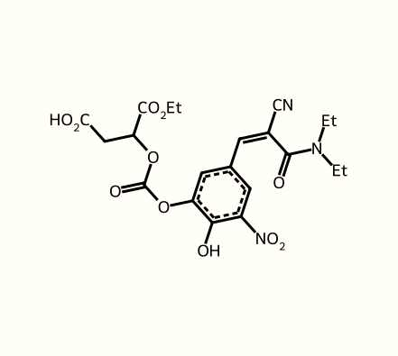 CCOC(=O)C(CC(=O)O)OC(=O)Oc1cc(C=C(C#N)C(=O)N(CC)CC)cc([N+](=O)[O-])c1O